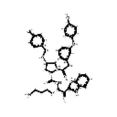 NCCCC[C@H](NC(=O)[C@@H]1C[C@@H](OCc2ccc(Cl)cc2)CN1C(=O)Cc1cccc(Oc2ccc(Cl)cc2)c1)C(=O)c1nc2ccccc2o1